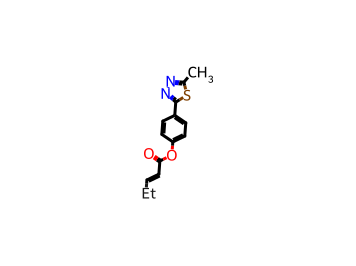 CC/C=C/C(=O)Oc1ccc(-c2nnc(C)s2)cc1